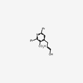 CC(C)c1cc(CC=CO)c(C(=O)O)c(C(C)C)n1